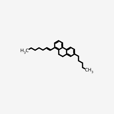 CCCCCC=Cc1cccc2c1CCc1cc(CCCCC)ccc1-2